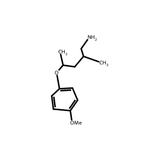 COc1ccc(OC(C)CC(C)CN)cc1